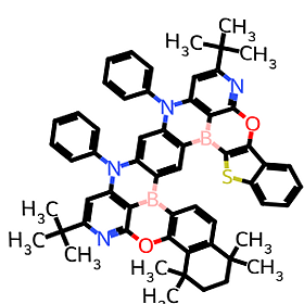 CC(C)(C)c1cc2c3c(n1)Oc1c(ccc4c1C(C)(C)CCC4(C)C)B3c1cc3c(cc1N2c1ccccc1)N(c1ccccc1)c1cc(C(C)(C)C)nc2c1B3c1sc3ccccc3c1O2